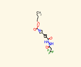 CCCCOC(=O)N1CC(C23CC(C(=O)NNC(=O)CC(F)(F)F)(C2)C3)C1